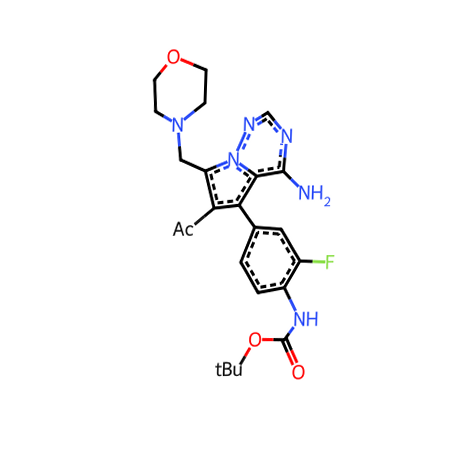 CC(=O)c1c(-c2ccc(NC(=O)OC(C)(C)C)c(F)c2)c2c(N)ncnn2c1CN1CCOCC1